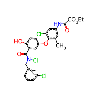 CCOC(=O)C(=O)Nc1cc(C)c(Oc2ccc(O)c(C(=O)N(Cl)Cc3cccc(Cl)c3)c2)c(Cl)c1